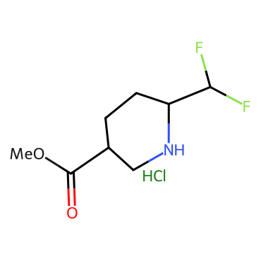 COC(=O)C1CCC(C(F)F)NC1.Cl